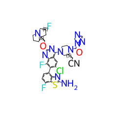 N#CC[C@H]1CN(c2nc(OC[C@@]34CCCN3C[C@H](F)C4)nc3c(F)c(-c4ccc(F)c5sc(N)nc45)c(Cl)cc23)CCN1C(=O)n1cncn1